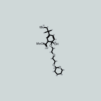 COC(=O)C1C=C(C(C)(C)CC(C)(C)C)C=CC1(O)OCCOCCOC1CCCCO1